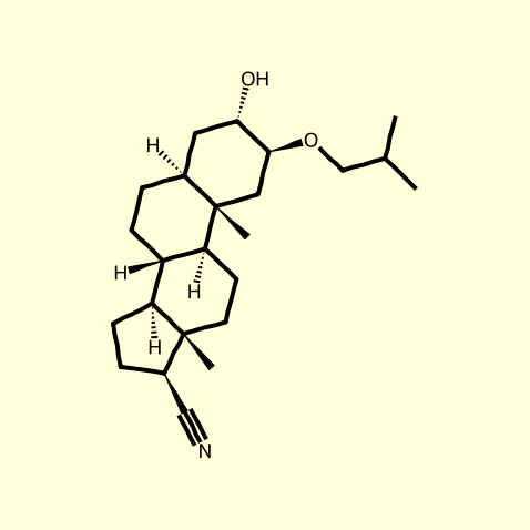 CC(C)CO[C@H]1C[C@@]2(C)[C@@H](CC[C@@H]3[C@@H]2CC[C@]2(C)[C@@H](C#N)CC[C@@H]32)C[C@@H]1O